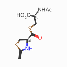 C=C1N[C@H](C(=O)SC[C@H](NC(C)=O)C(=O)O)CS1